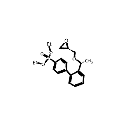 CCOP(=O)(OCC)c1ccc(-c2ccccc2[C@@H](C)OC[C@H]2CO2)cc1